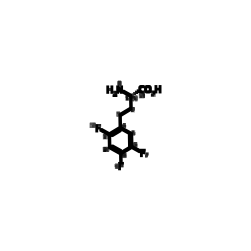 N[C@@H](CCc1cc(F)c(F)cc1F)C(=O)O